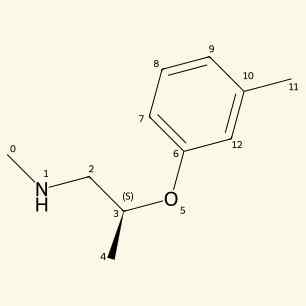 CNC[C@H](C)Oc1cccc(C)c1